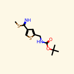 CSC(=N)c1csc(CNC(=O)OC(C)(C)C)c1